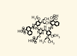 CCN(CC)c1cc(Nc2nc(Nc3cc(N(CC)CC)c(OC)cc3/N=N/c3ccc(S(=O)(=O)O)c4ccccc34)nc(SCCS(=O)(=O)O)n2)c(/N=N/c2ccc(S(=O)(=O)O)c3ccccc23)cc1OC